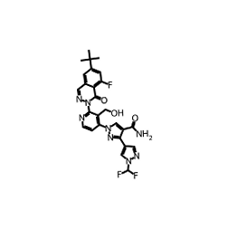 CC(C)(C)c1cc(F)c2c(=O)n(-c3nccc(-n4cc(C(N)=O)c(-c5cnn(C(F)F)c5)n4)c3CO)ncc2c1